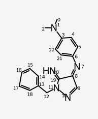 CN(C)c1ccc(N=C2C=NN(Cc3ccccc3)C2=N)cc1